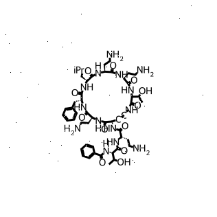 CC(C)C[C@@H]1NC(=O)[C@@H](Cc2ccccc2)NC(=O)[C@H](CCN)NC(=O)[C@@H](NC(=O)[C@H](CCN)NC(=O)[C@@H](NC(=O)c2ccccc2)C(C)O)CCNC(=O)C(C(C)O)NC(=O)[C@H](CCN)NC(=O)[C@H](CCN)NC1=O